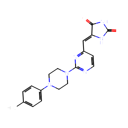 Cc1ccc(N2CCN(c3nccc(/C=C4\NC(=O)NC4=O)n3)CC2)cc1